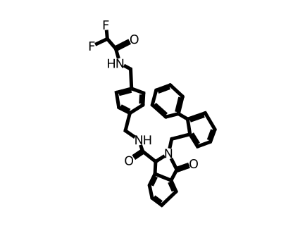 O=C(NCc1ccc(CNC(=O)C2c3ccccc3C(=O)N2Cc2ccccc2-c2ccccc2)cc1)C(F)F